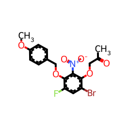 COc1ccc(COc2c(F)cc(Br)c(OCC(C)=O)c2[N+](=O)[O-])cc1